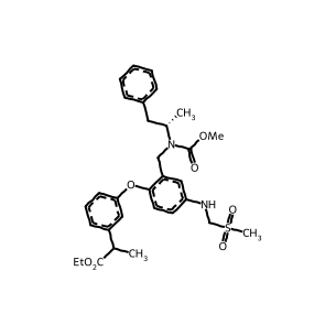 CCOC(=O)C(C)c1cccc(Oc2ccc(NCS(C)(=O)=O)cc2CN(C(=O)OC)[C@@H](C)Cc2ccccc2)c1